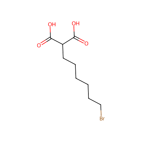 O=C(O)C(CCCCCCBr)C(=O)O